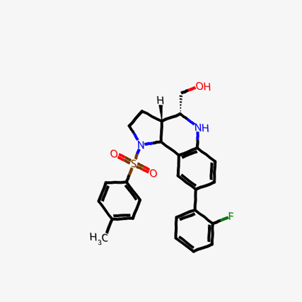 Cc1ccc(S(=O)(=O)N2CC[C@H]3C2c2cc(-c4ccccc4F)ccc2N[C@H]3CO)cc1